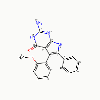 COc1ccccc1-c1c(-c2ccccc2)[nH]c2nc(N)[nH]c(=O)c12